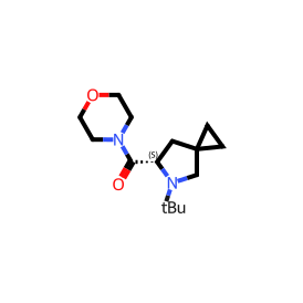 CC(C)(C)N1CC2(CC2)C[C@H]1C(=O)N1CCOCC1